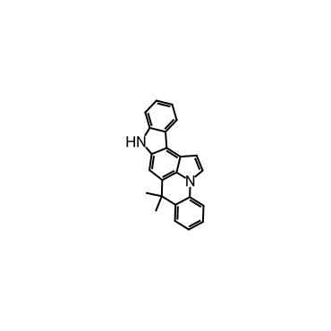 CC1(C)c2ccccc2-n2ccc3c4c(cc1c32)[nH]c1ccccc14